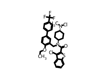 CCOc1ccc(-c2ccc(C(F)(F)F)cc2)cc1CN(C(=O)c1sc2ccccc2c1Cl)[C@H]1CC[C@H](N(C)Cl)CC1